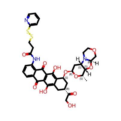 C[C@@H]1O[C@@H](O[C@H]2C[C@H](C(=O)CO)Cc3c(O)c4c(c(O)c32)C(=O)c2c(NC(=O)CCSSc3ccccn3)cccc2C4=O)C[C@H]2[C@@H]1O[C@@H]1COCCN12